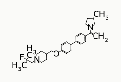 C=C(c1ccc(-c2ccc(OCC3CCN(CC(C)(C)F)CC3)cc2)cc1)N1CCC(C)C1